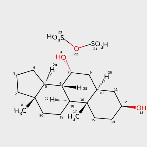 C[C@@]12CCC[C@H]1[C@@H]1[C@H](O)C[C@H]3C[C@@H](O)CC[C@]3(C)[C@H]1CC2.O=S(=O)(O)OS(=O)(=O)O